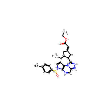 CCOC(=O)/C=C1\CC(CC)C(c2nnc3cnc4c(ccn4[S+]([O-])c4ccc(C)cc4)n23)C1